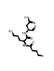 CCCCC(=O)NC(CCCS)C(=O)NC(C=O)CC(=O)O